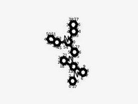 c1ccc(-n2c3ccccc3c3cc4c(cc32)c2ccccc2n4-c2cccc(-c3cc(-c4ccc5ccccc5c4)nc(-c4ccc5ccccc5c4)c3)c2)cc1